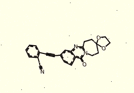 N#Cc1ccccc1C#Cc1ccc2c(=O)n3c(nc2c1)CCC1(CC3)OCCO1